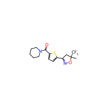 CC1(C(F)(F)F)CC(c2ccc(C(=O)N3CCCCC3)s2)=NO1